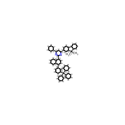 CC1(C)c2ccccc2-c2ccc(-c3cc(-c4ccccc4)nc(-c4ccc(-c5cccc6c5-c5ccccc5C6(c5ccccc5)c5ccccc5)c5ccccc45)n3)cc21